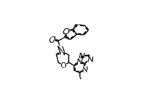 Cc1cc(C2CN(C(=O)c3cc4ccccc4o3)CCO2)n2ncnc2n1